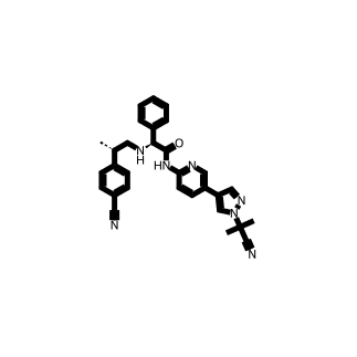 C[C@H](CN[C@@H](C(=O)Nc1ccc(-c2cnn(C(C)(C)C#N)c2)cn1)c1ccccc1)c1ccc(C#N)cc1